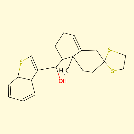 CC12CCC3(CC1=CCCC2C(O)C1=CSC2C=CC=CC12)SCCS3